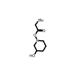 CC(C)(C)CC(=O)ON1CCCC(O)C1